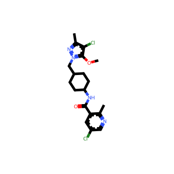 COc1c(Cl)c(C)nn1CC1CCC(NC(=O)c2cc(Cl)cnc2C)CC1